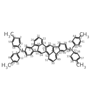 Cc1ccc(N(c2ccc(C)cc2)c2ccc3c(c2)c2cccc4c5cc6c7ccc(N(c8ccc(C)cc8)c8ccc(C)cc8)cc7c7cccc(c5cc3c24)c76)cc1